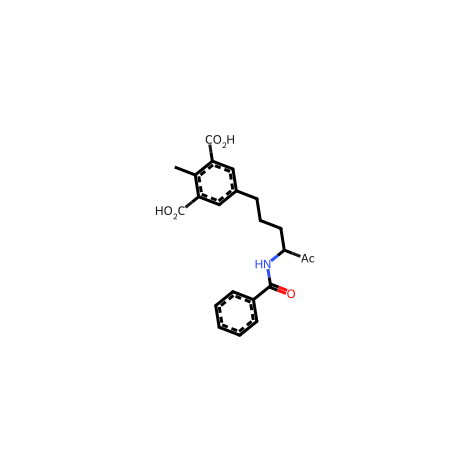 CC(=O)C(CCCc1cc(C(=O)O)c(C)c(C(=O)O)c1)NC(=O)c1ccccc1